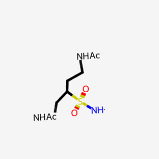 CC(=O)NCCC(CNC(C)=O)S([NH])(=O)=O